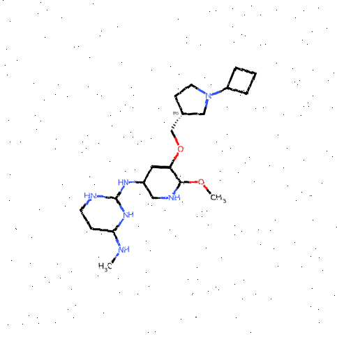 CNC1CCNC(NC2CNC(OC)C(OC[C@@H]3CCN(C4CCC4)C3)C2)N1